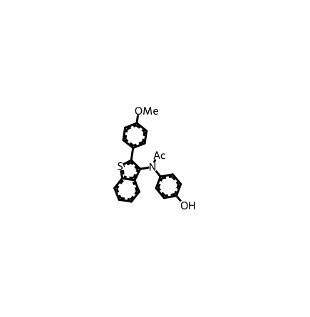 COc1ccc(-c2sc3ccccc3c2N(C(C)=O)c2ccc(O)cc2)cc1